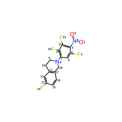 O=[N+]([O-])c1c(F)cc(N2CCc3cc(F)ccc3C2)c(F)c1F